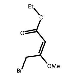 CCOC(=O)/C=C(\CBr)OC